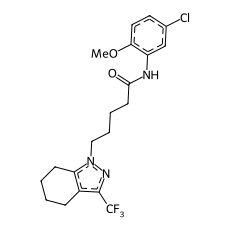 COc1ccc(Cl)cc1NC(=O)CCCCn1nc(C(F)(F)F)c2c1CCCC2